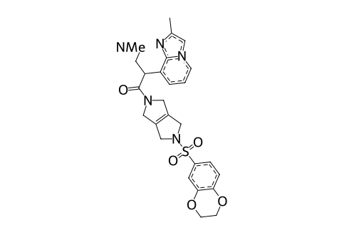 CNCC(C(=O)N1CC2=C(C1)CN(S(=O)(=O)c1ccc3c(c1)OCCO3)C2)c1cccn2cc(C)nc12